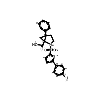 O=C(O)C12CC1(c1ccccc1)CCN2S(=O)(=O)c1ccc(-c2ccc(Cl)cc2)s1